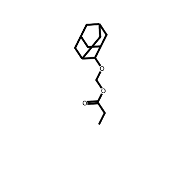 CCC(=O)OCOC1C2CC3CC(C2)CC1C3